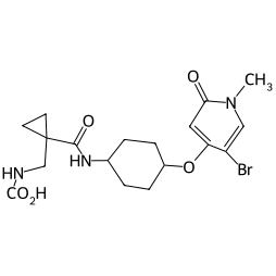 Cn1cc(Br)c(OC2CCC(NC(=O)C3(CNC(=O)O)CC3)CC2)cc1=O